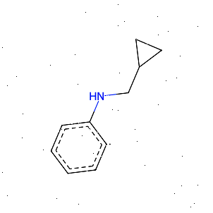 [c]1ccccc1NCC1CC1